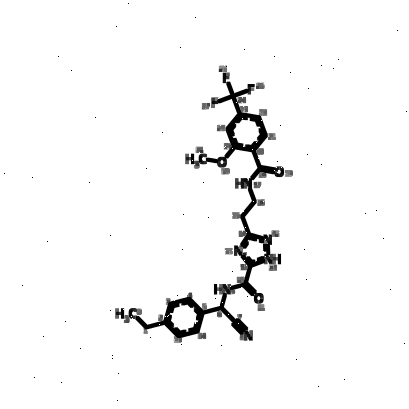 CCc1ccc(C(C#N)NC(=O)c2nc(CCNC(=O)c3ccc(C(F)(F)F)cc3OC)n[nH]2)cc1